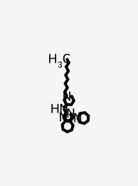 CCCCCCCCCN1CCCC(Nc2nc3c(c(N4CCCCCC4)n2)CCCCC3)C1